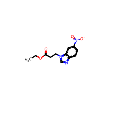 CCOC(=O)CCn1cnc2ccc([N+](=O)[O-])cc21